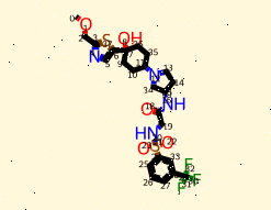 COCc1ncc(C2(O)CCC(N3CC[C@@H](NC(=O)CNS(=O)(=O)c4cccc(C(F)(F)F)c4)C3)CC2)s1